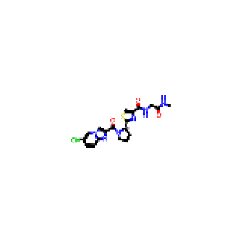 CNC(=O)CNC(=O)c1csc([C@H]2CCCN2C(=O)c2cn3cc(Cl)ccc3n2)n1